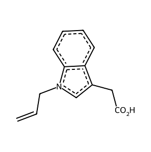 C=CCn1cc(CC(=O)O)c2ccccc21